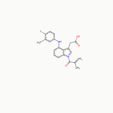 C=C(C)C(=O)n1cc(CC(=O)O)c2c(Nc3ccc(F)c(C)c3)cccc21